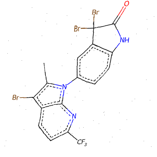 Cc1c(Br)c2ccc(C(F)(F)F)nc2n1-c1ccc2c(c1)C(Br)(Br)C(=O)N2